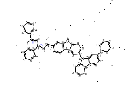 C/C(=N\C(=N/[C@@H](C)c1ccc2c(c1)oc1ccc(-n3c4ccccc4c4ccc(-c5ccccc5)cc43)cc12)c1ccccc1)c1ccccc1